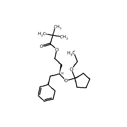 CCOC1(O[C@H](CCOC(=O)C(C)(C)C)CC2C=CC=CC2)CCCC1